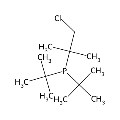 CC(C)(C)P(C(C)(C)C)C(C)(C)CCl